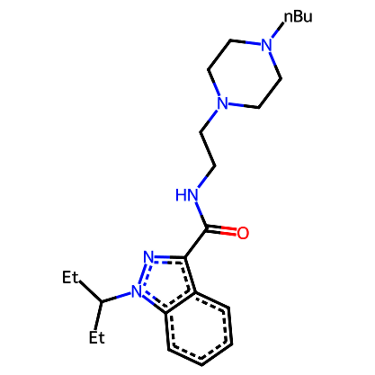 CCCCN1CCN(CCNC(=O)c2nn(C(CC)CC)c3ccccc23)CC1